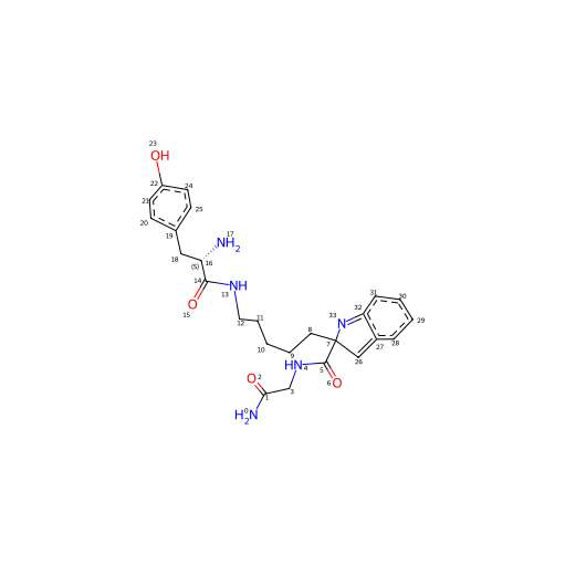 NC(=O)CNC(=O)C1(CCCCCNC(=O)[C@@H](N)Cc2ccc(O)cc2)C=c2ccccc2=N1